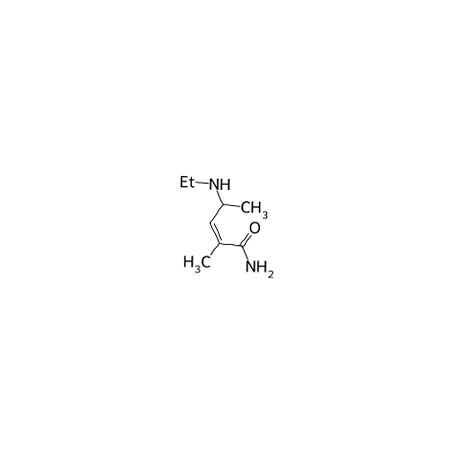 CCNC(C)C=C(C)C(N)=O